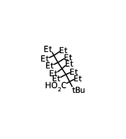 CCC(CC)(CC)C(CC)(CC)C(CC)(CC)C(CC)(CC)C(CC)(C(=O)O)C(C)(C)C